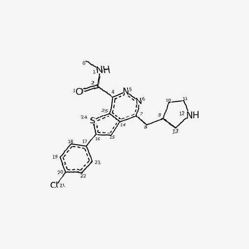 CNC(=O)c1nnc(CC2CCNC2)c2cc(-c3ccc(Cl)cc3)sc12